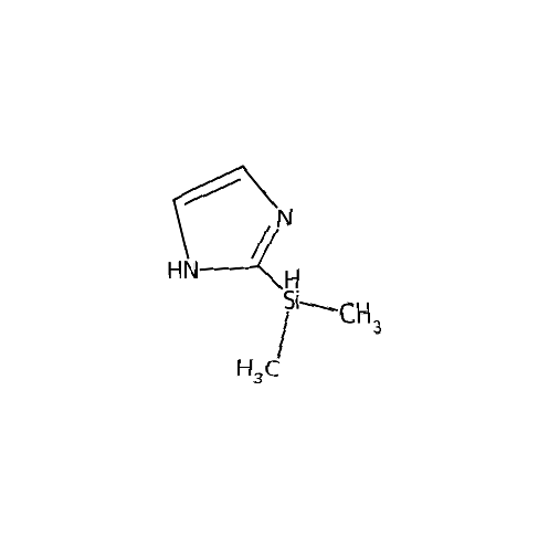 C[SiH](C)c1ncc[nH]1